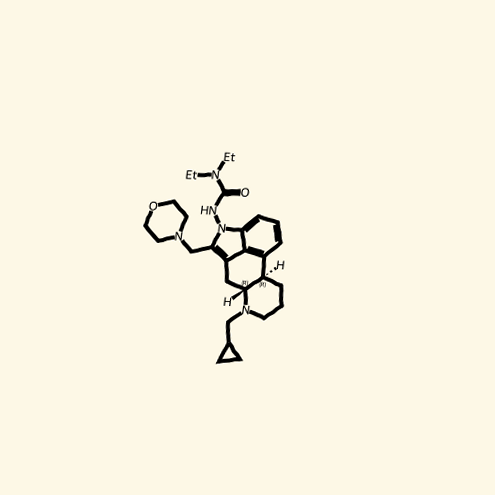 CCN(CC)C(=O)Nn1c(CN2CCOCC2)c2c3c(cccc31)[C@H]1CCCN(CC3CC3)[C@@H]1C2